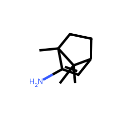 CC12CCC(C=C1N)C2(C)C